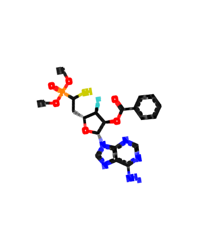 CCOP(=O)(OCC)C(S)C[C@H]1O[C@@H](n2cnc3c(N)ncnc32)[C@H](OC(=O)c2ccccc2)[C@@H]1F